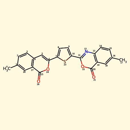 Cc1ccc2cc(-c3ccc(-c4nc5ccc(C)cc5c(=O)o4)s3)oc(=O)c2c1